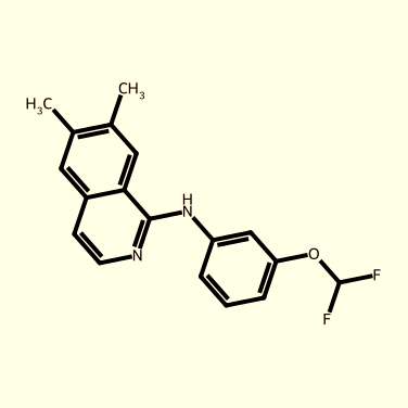 Cc1cc2ccnc(Nc3cccc(OC(F)F)c3)c2cc1C